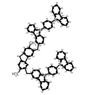 Cc1cc2c(cc1Cc1ccc3c(c1)c1ccccc1n3-c1ccc(-n3c4ccccc4c4ccccc43)cc1)-c1cc(Cc3ccc4c(c3)c3ccccc3n4-c3ccc(-n4c5ccccc5c5ccccc54)cc3)c(C)cc1C2